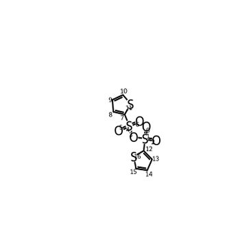 O=S(=O)(OS(=O)(=O)c1cccs1)c1cccs1